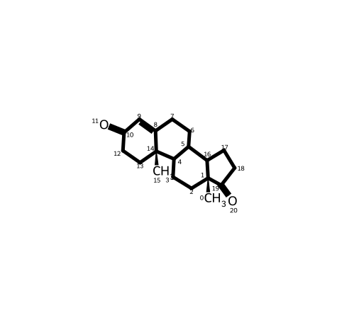 C[C@@]12CCC3C(CCC4=CC(=O)CC[C@]43C)C1CCC2=O